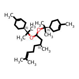 CC(C)=CCC[C@H](C)CC(OC(C)(C)[C@@H]1CC=C(C)CC1)OC(C)(C)[C@@H]1CC=C(C)CC1